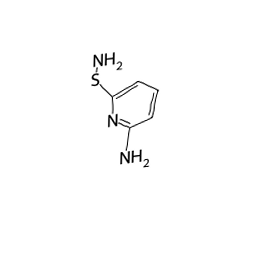 NSc1cccc(N)n1